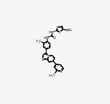 Cc1cc(-c2ccn3c(-c4ccc(NC(=O)Nc5ncc(C(C)(C)C)s5)c(C(F)(F)F)c4)cnc3c2)ccn1